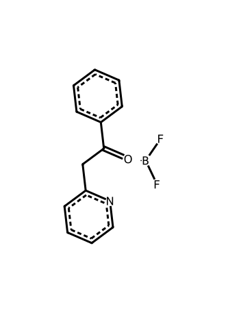 F[B]F.O=C(Cc1ccccn1)c1ccccc1